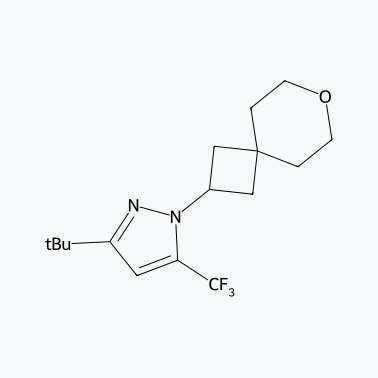 CC(C)(C)c1cc(C(F)(F)F)n(C2CC3(CCOCC3)C2)n1